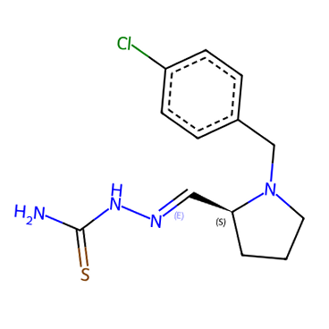 NC(=S)N/N=C/[C@@H]1CCCN1Cc1ccc(Cl)cc1